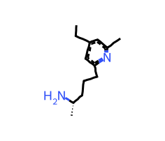 CCc1cc(C)nc(CCC[C@H](C)N)c1